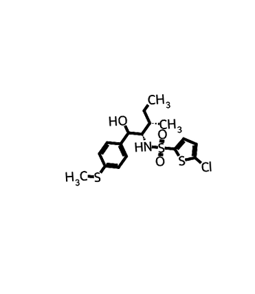 CC[C@H](C)[C@H](NS(=O)(=O)c1ccc(Cl)s1)C(O)c1ccc(SC)cc1